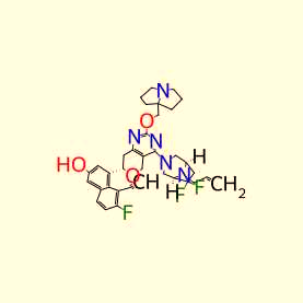 C#Cc1c(F)ccc2cc(O)cc([C@@H]3Cc4nc(OCC56CCCN5CCC6)nc(N5C[C@H]6CC(F)(F)[C@@H](C5)N6CC=C)c4CO3)c12